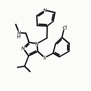 CNCc1nc(C(C)C)c(Sc2cccc(Cl)c2)n1Cc1ccncc1